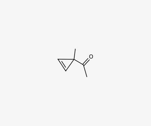 CC(=O)C1(C)C=C1